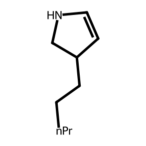 CCCCCC1C=CNC1